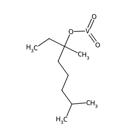 CCC(C)(CCCC(C)C)[O][V](=[O])=[O]